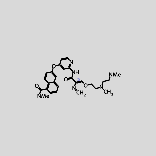 C=N/C(=C\OCCN(C)CCNC)C(=O)Nc1cc(Oc2ccc3c(C(=O)NC)cccc3c2)ccn1